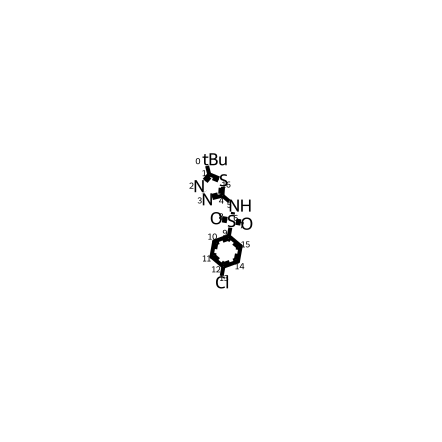 CC(C)(C)c1nnc(NS(=O)(=O)c2ccc(Cl)cc2)s1